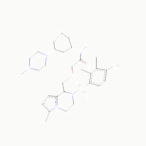 COc1ccc(S(=O)(=O)N2CCn3c(C)ccc3C2COCC(=O)N(C)[C@H]2CCC[C@@H](N3CCN(C)CC3)C2)c(C)c1C